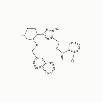 Cl.O=C(OCc1cn(C2CCNCC2OCc2ccc3ccccc3c2)nn1)c1ccccc1Cl